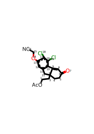 CC(=O)OCCC12CCC(=O)C=C1c1c(cc(OCC#N)c(Cl)c1Cl)C2